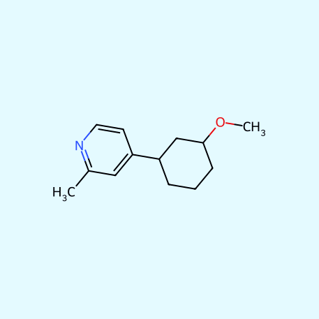 COC1CCCC(c2ccnc(C)c2)C1